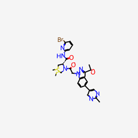 CC(=O)c1nn(CC(=O)N2CS(C)(C)C[C@H]2C(=O)Nc2cccc(Br)n2)c2ccc(-c3cnc(C)nc3)cc12